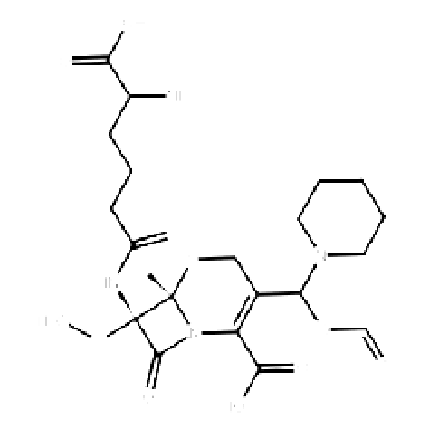 CO[C@@]1(NC(=O)CCCC(N)C(=O)O)C(=O)N2C(C(=O)O)=C(C(OC=O)N3CCCCC3)CS[C@H]21